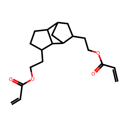 C=CC(=O)OCCC1CC2CC1C1C(CCOC(=O)C=C)CCC21